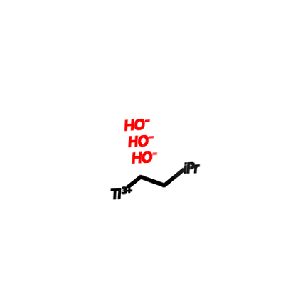 CC(C)C[CH2][Ti+3].[OH-].[OH-].[OH-]